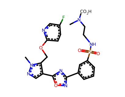 CN(CCNS(=O)(=O)c1cccc(-c2noc(-c3cnn(C)c3COc3ccc(F)cn3)n2)c1)C(=O)O